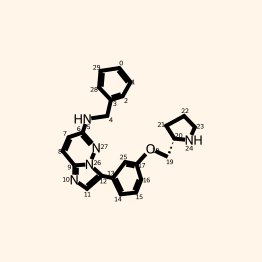 c1ccc(CNc2ccc3ncc(-c4cccc(OC[C@@H]5CCCN5)c4)n3n2)cc1